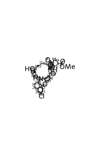 COC(=O)C1CCN(C(=O)[C@H]2CC/C=C/[C@H](O)[C@@H]3CC[C@H]3CN3C[C@@]4(CCCc5cc(Cl)ccc54)COc4ccc(cc43)C(=O)NS2(=O)=O)CC1